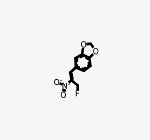 O=[N+]([O-])/C(=C/c1ccc2c(c1)OCO2)CF